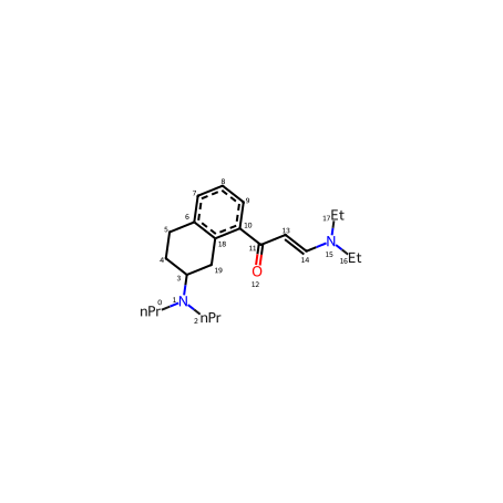 CCCN(CCC)C1CCc2cccc(C(=O)C=CN(CC)CC)c2C1